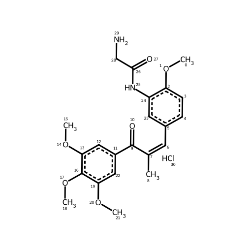 COc1ccc(C=C(C)C(=O)c2cc(OC)c(OC)c(OC)c2)cc1NC(=O)CN.Cl